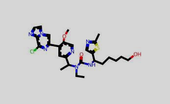 CCN(C(=O)NC(CCCCCO)c1cnc(C)s1)C(C)c1cc(-c2cn3ccnc3c(Cl)n2)c(OC)cn1